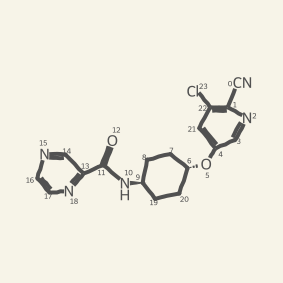 N#Cc1ncc(O[C@H]2CC[C@H](NC(=O)c3cnccn3)CC2)cc1Cl